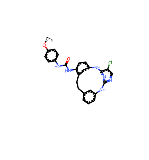 O=C(Nc1ccc(OC(F)(F)F)cc1)Nc1ccc2cc1CCc1cccc(c1)Nc1ncc(Cl)c(n1)N2